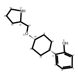 Oc1ccccc1[C@H]1CC[C@@H](OCC2CCCN2)CC1